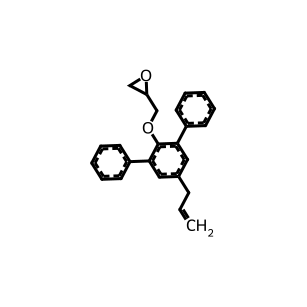 C=CCc1cc(-c2ccccc2)c(OCC2CO2)c(-c2ccccc2)c1